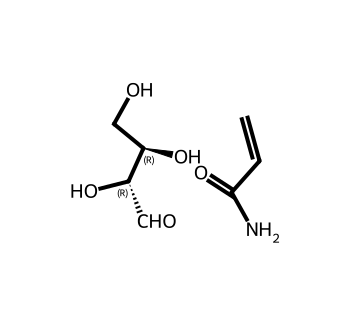 C=CC(N)=O.O=C[C@H](O)[C@H](O)CO